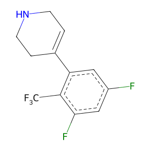 Fc1cc(F)c(C(F)(F)F)c(C2=CCNCC2)c1